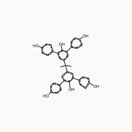 CC(C)(c1cc(-c2ccc(O)cc2)c(O)c(-c2ccc(O)cc2)c1)c1cc(-c2ccc(O)cc2)c(O)c(-c2ccc(O)cc2)c1